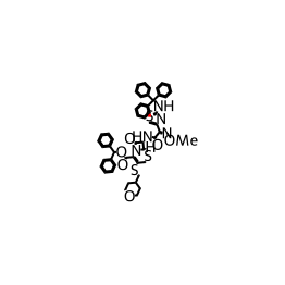 CO/N=C(\C(=O)NC1C(=O)N2C(C(=O)OC(c3ccccc3)c3ccccc3)=C(SCC3CCOCC3)CS[C@@H]12)c1csc(NC(c2ccccc2)(c2ccccc2)c2ccccc2)n1